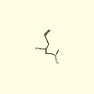 C=CCC(CN(C)C(C)C)C(C)C